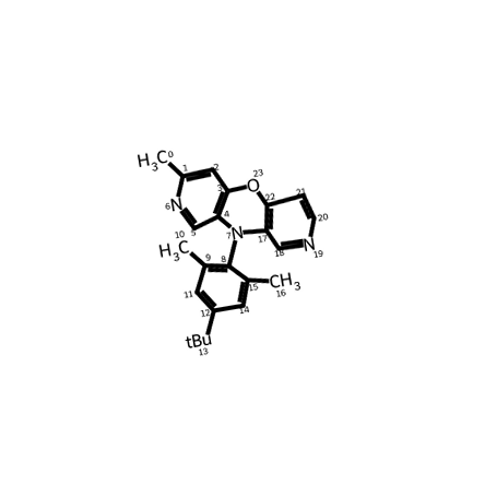 Cc1cc2c(cn1)N(c1c(C)cc(C(C)(C)C)cc1C)c1cnccc1O2